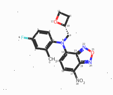 Cc1cc(F)ccc1N(C[C@H]1CCO1)c1ccc([N+](=O)[O-])c2nonc12